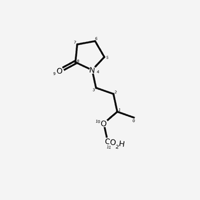 CC(CCN1CCCC1=O)OC(=O)O